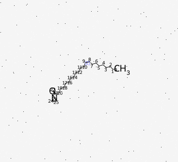 CCCCCCCC/C=C\CCCCCCCCCCCC(=O)N1CC1